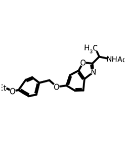 CCOc1ccc(COc2ccc3nc(C(C)NC(C)=O)oc3c2)cc1